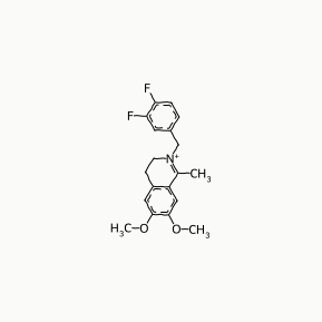 COc1cc2c(cc1OC)C(C)=[N+](Cc1ccc(F)c(F)c1)CC2